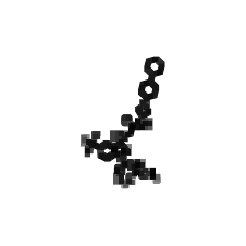 CC(C)NC(=O)n1nc(NCC(=O)NC2CN(C3CCC(C4CCCCC4)CC3)C2)c2cc(C(F)(F)F)ccc21